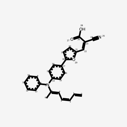 C=C/C=C\C=C(/C)N(c1ccccc1)c1ccc(-c2ccc(/C=C(/C#N)C(=O)O)o2)cc1